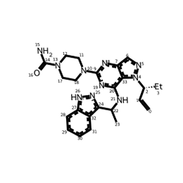 C=C[C@@H](CC)n1ncc2nc(N3CCN(C(N)=O)CC3)nc(NC(C)c3n[nH]c4ccccc34)c21